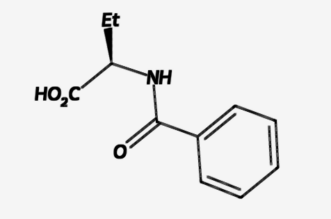 CC[C@@H](NC(=O)c1ccccc1)C(=O)O